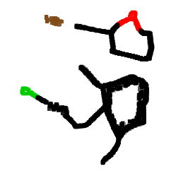 Br.CC1CCCO1.Cc1cccc(C)c1[CH2][Mg][Cl]